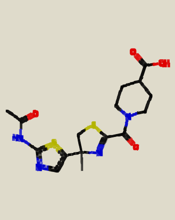 CC(=O)Nc1ncc(C2(C)CSC(C(=O)N3CCC(C(=O)O)CC3)=N2)s1